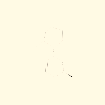 C[C@H]1CC=CC(C2CCCCC2N)C1